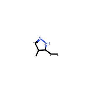 CCC1NN=CC1C